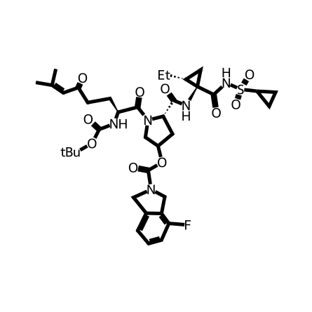 CC[C@@H]1C[C@]1(NC(=O)[C@@H]1CC(OC(=O)N2Cc3cccc(F)c3C2)CN1C(=O)[C@H](CCC(=O)C=C(C)C)NC(=O)OC(C)(C)C)C(=O)NS(=O)(=O)C1CC1